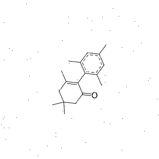 CC1=C(c2c(C)cc(C)cc2C)C(=O)CC(C)(C)C1